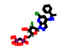 CC(Nc1cc(Cl)nc2c1cnn2[C@@H]1O[C@H](COP(=O)(O)CP(=O)(O)O)[C@@H](O)[C@@H]1F)c1ccccc1